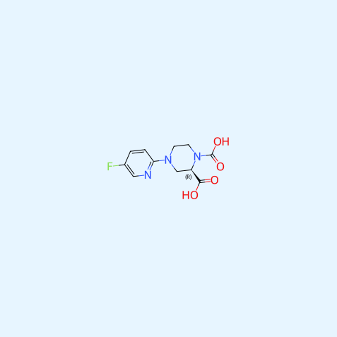 O=C(O)[C@H]1CN(c2ccc(F)cn2)CCN1C(=O)O